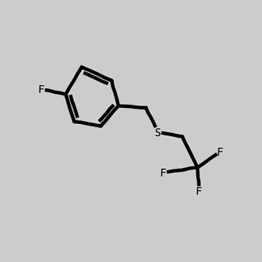 Fc1ccc(CSCC(F)(F)F)cc1